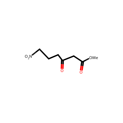 COC(=O)CC(=O)CCC[N+](=O)[O-]